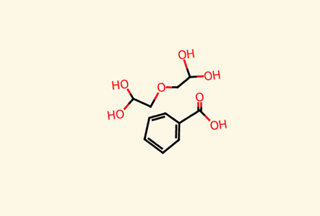 O=C(O)c1ccccc1.OC(O)COCC(O)O